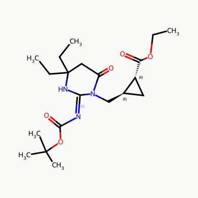 CCOC(=O)[C@@H]1C[C@H]1CN1C(=O)CC(CC)(CC)N/C1=N\C(=O)OC(C)(C)C